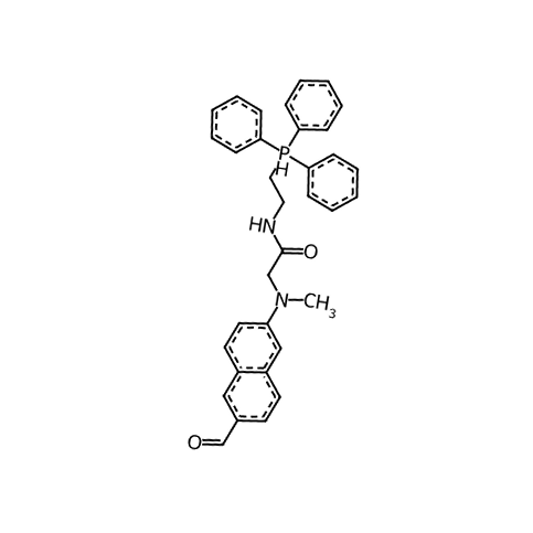 CN(CC(=O)NCC[PH](c1ccccc1)(c1ccccc1)c1ccccc1)c1ccc2cc(C=O)ccc2c1